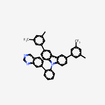 Cc1cc(-c2ccc3c(c2)c2cc(-c4cc(C)cc(C(F)(F)F)c4)ccc2n3-c2ccccc2-c2ccc3cncnc3c2)cc(C(F)(F)F)c1